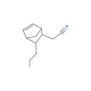 CCCC1C2C=CC(C2)C1CC#N